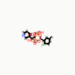 Cc1ccc(F)c(C2OP(=O)(O)C(O)(Cc3cccnc3)P(=O)(O)O2)c1